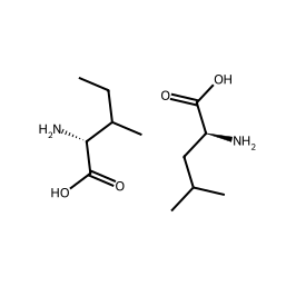 CC(C)C[C@H](N)C(=O)O.CCC(C)[C@@H](N)C(=O)O